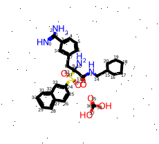 N=C(N)c1cccc(C[C@](N)(C(=O)NCC2CCCCC2)S(=O)(=O)c2ccc3ccccc3c2)c1.O=C(O)O